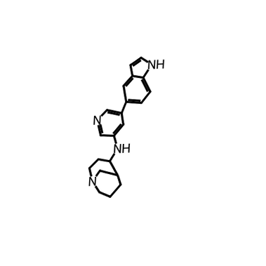 c1cc2cc(-c3cncc(NC4CCN5CCCC4C5)c3)ccc2[nH]1